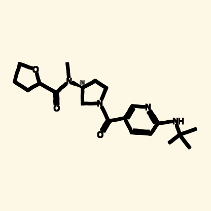 CN(C(=O)C1CCCO1)[C@H]1CCN(C(=O)c2ccc(NC(C)(C)C)nc2)C1